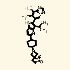 Cc1c(-c2[nH]c3ccc(C4CCC(N5CC6(CCS6(=O)=O)C5)CC4)nc3c2C(C)C)cn2ncnc2c1C